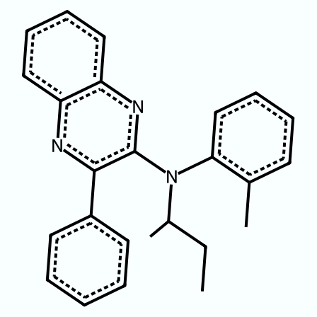 CCC(C)N(c1ccccc1C)c1nc2ccccc2nc1-c1ccccc1